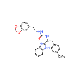 COc1ccc(C[C@@H](NC(=O)NCCc2ccc3c(c2)OCO3)c2nc3ccccc3[nH]2)cc1